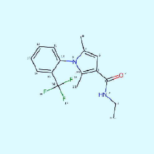 [CH2]CNC(=O)c1cc(C)n(-c2ccccc2C(F)(F)F)c1C